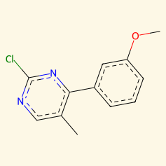 COc1cccc(-c2nc(Cl)ncc2C)c1